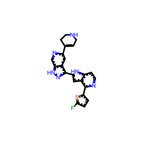 Fc1ccc(-c2nccc3[nH]c(-c4n[nH]c5cnc(C6=CCNCC6)cc45)cc23)s1